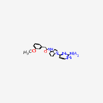 COc1cccc(CC(=O)Nc2cccc3c2ccn3-c2ccnc(N)n2)c1